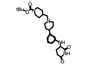 CC(C)(C)OC(=O)N1CCC(CN2CCC(c3cccc(NC4CCC(=O)NC4=O)c3)CC2)CC1